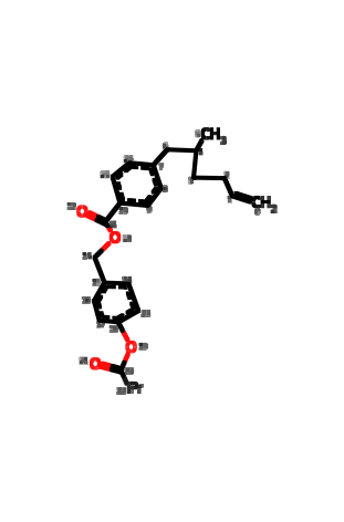 C=CCCC(C)Cc1ccc(C(=O)OCc2ccc(OC(=O)C(C)C)cc2)cc1